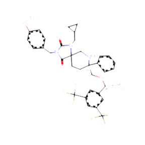 COc1ccc(CN2C(=O)N(CC3CC3)C3(CC[C@@](CO[C@H](C)c4cc(C(F)(F)F)cc(C(F)(F)F)c4)(c4ccccc4)NC3)C2=O)cc1